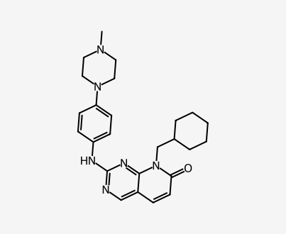 CN1CCN(c2ccc(Nc3ncc4ccc(=O)n(CC5CCCCC5)c4n3)cc2)CC1